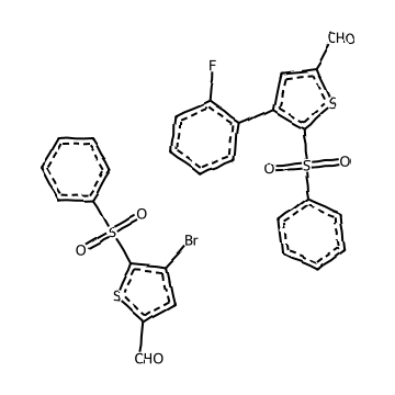 O=Cc1cc(-c2ccccc2F)c(S(=O)(=O)c2ccccc2)s1.O=Cc1cc(Br)c(S(=O)(=O)c2ccccc2)s1